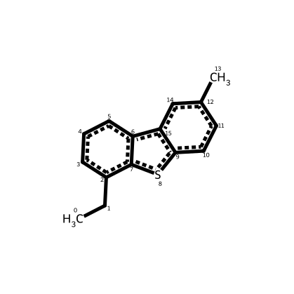 CCc1cccc2c1sc1ccc(C)cc12